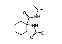 CC(C)NC(=O)C1(NC(=O)O)CCCCC1